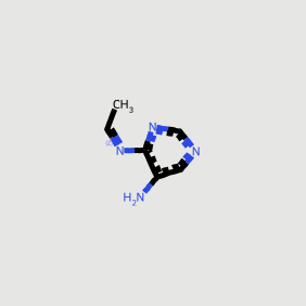 C/C=N\c1ncncc1N